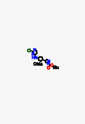 COc1cc(Nc2ccnc(Cl)n2)ccc1-c1cnn(C(=O)OC(C)(C)C)c1